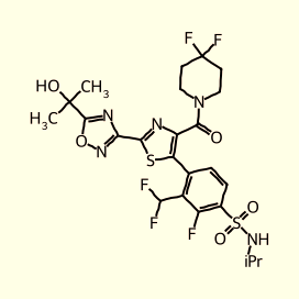 CC(C)NS(=O)(=O)c1ccc(-c2sc(-c3noc(C(C)(C)O)n3)nc2C(=O)N2CCC(F)(F)CC2)c(C(F)F)c1F